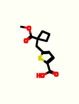 COC(=O)C1(Cc2ccc(C(=O)O)s2)CCC1